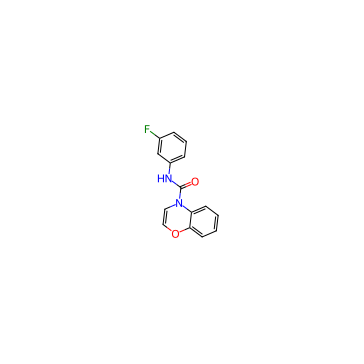 O=C(Nc1cccc(F)c1)N1C=COc2ccccc21